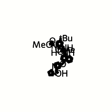 COC(=O)Nc1cc(C(C)(C)C)cc(NC(=O)Nc2ccc(Oc3ccnc(C(O)N4CCCC4)c3)c3ccccc23)c1OC